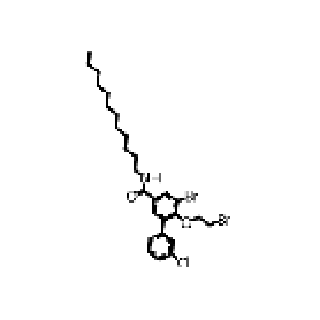 CCCCCCCCCCCCNC(=O)c1cc(Br)c(OCCBr)c(-c2cccc(Cl)c2)c1